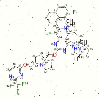 Cc1c(F)ccc2cccc(-c3c(F)c4nc(OC[C@@]56CCCN5[C@H](COc5ccnc(C(F)(F)F)n5)CC6)nc5c4c([n+]3C)CC[C@@H]3[C@@H]4CC[C@H](CN53)N4)c12